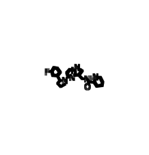 O=C(NCc1cnn2ccc(N3CCCC3c3cccc(F)c3)nc12)c1ccccn1